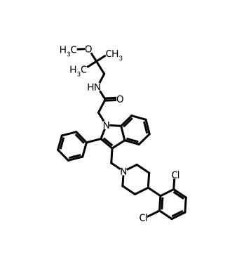 COC(C)(C)CNC(=O)Cn1c(-c2ccccc2)c(CN2CCC(c3c(Cl)cccc3Cl)CC2)c2ccccc21